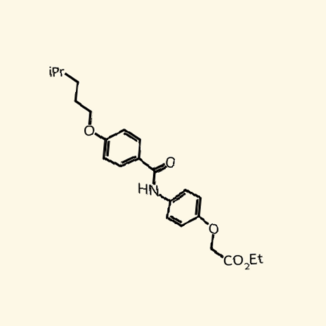 CCOC(=O)COc1ccc(NC(=O)c2ccc(OCCCC(C)C)cc2)cc1